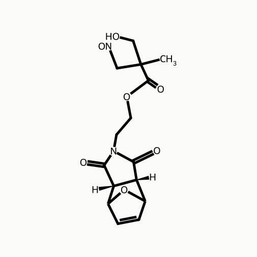 CC(CO)(CN=O)C(=O)OCCN1C(=O)[C@@H]2C3C=CC(O3)[C@@H]2C1=O